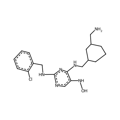 NCC1CCCC(CNc2nc(NCc3ccccc3Cl)ncc2NO)C1